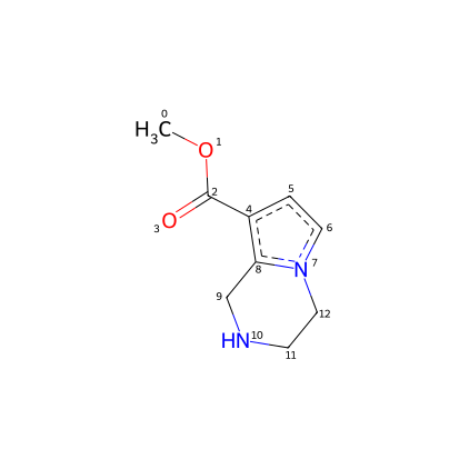 COC(=O)c1ccn2c1CNCC2